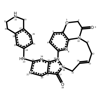 O=C1COc2ccc3nc2N1CC/C=C/Cn1c(=O)c2cnc(Nc4ccc5c(c4)CCNC5)nc2n1-3